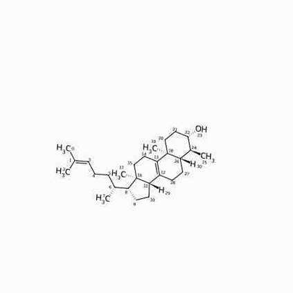 CC(C)=CCC[C@@H](C)[C@H]1CC[C@H]2C3=C(CC[C@]12C)[C@@]1(C)CC[C@H](O)[C@@H](C)[C@@H]1CC3